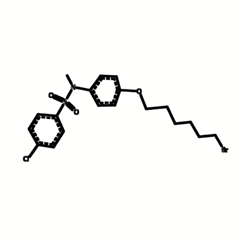 CN(c1ccc(OCCCCCCBr)cc1)S(=O)(=O)c1ccc(Cl)cc1